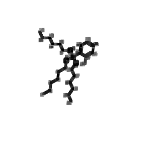 CCCCCCO[Si](OCCCCCC)(OCCCCCC)c1ccccc1C